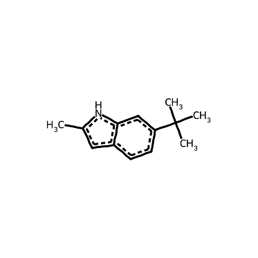 Cc1cc2ccc(C(C)(C)C)cc2[nH]1